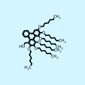 CCCCCCOc1cc2c3ccccc3c3c(CO)c(OCCCCCC)c(OCCCCCC)c(OCCCCCC)c3c2c(OCCCCCC)c1OCCCCCC